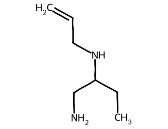 C=CCNC(CC)CN